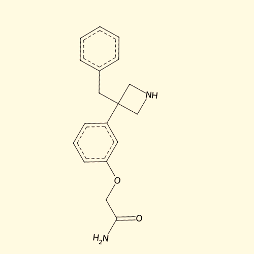 NC(=O)COc1cccc(C2(Cc3ccccc3)CNC2)c1